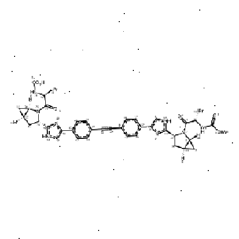 COC(=O)N[C@H](C(=O)N1[C@@H]2C[C@H]2C[C@H]1c1nc(-c2ccc(C#Cc3ccc(-c4c[nH]c([C@@H]5C[C@H]6C[C@H]6N5C(=O)[C@@H](NC(=O)O)C(C)C)n4)cc3)cc2)c[nH]1)C(C)C